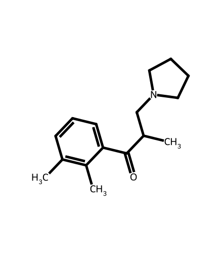 Cc1cccc(C(=O)C(C)CN2CCCC2)c1C